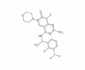 Cc1nc(NC(C)c2cccc(C(F)F)c2F)c2cn(N3CCOCC3)c(=O)c(F)c2n1